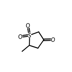 CC1CC(=O)CS1(=O)=O